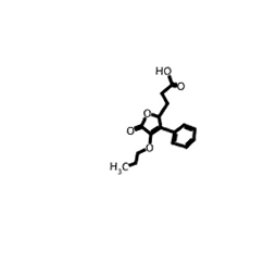 CCCOC1=C(c2ccccc2)C(CCC(=O)O)OC1=O